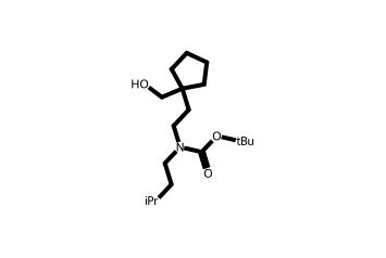 CC(C)CCN(CCC1(CO)CCCC1)C(=O)OC(C)(C)C